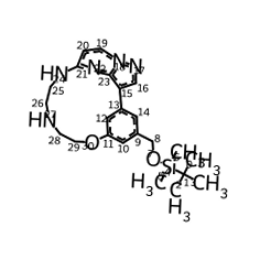 CC(C)(C)[Si](C)(C)OCc1cc2cc(c1)-c1cnn3ccc(nc13)NCCNCCO2